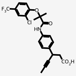 CC#CC(CC(=O)O)c1ccc(NC(=O)C(C)(C)Oc2ccc(C(F)(F)F)cc2Cl)cc1